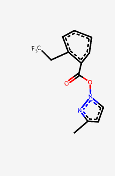 Cc1ccn(OC(=O)c2ccccc2CC(F)(F)F)n1